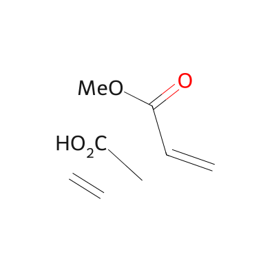 C=C.C=CC(=O)OC.CC(=O)O